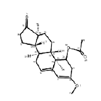 COC1=CC2=CC[C@H]3[C@@H]4CCC(=O)[C@@]4(C)CC[C@@H]3[C@@]2(C)C(OC(C)=O)C1